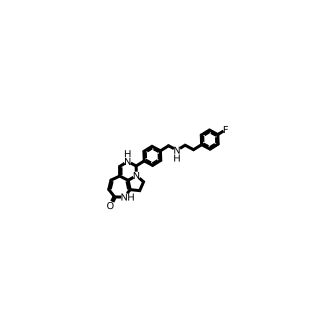 O=C1C=CC2=CNC(c3ccc(CNCCc4ccc(F)cc4)cc3)N3CCC(=C23)N1